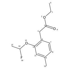 CCOC(=O)Cc1ccc(C)cc1OC(C)F